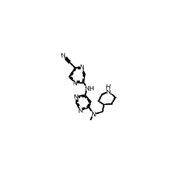 CN(CC1CCNCC1)c1cc(Nc2cnc(C#N)cn2)ncn1